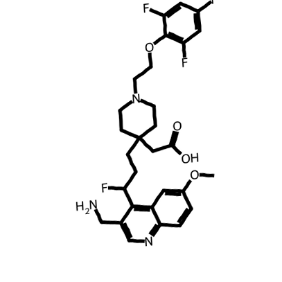 COc1ccc2ncc(CN)c(C(F)CCC3(CC(=O)O)CCN(CCOc4c(F)cc(F)cc4F)CC3)c2c1